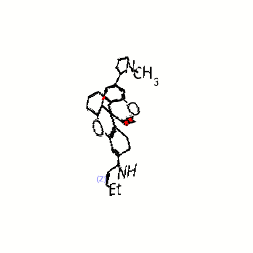 CC/C=C\C(=N)C1=CC2=C(CC1)C1(c3ccccc3Oc3cc(C4CCCN4C)ccc31)C1CC=CCC1O2